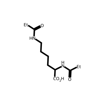 CCC(=O)NCCCCC(NC(=O)CC)C(=O)O